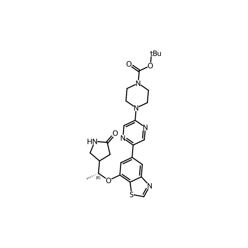 C[C@@H](Oc1cc(-c2cnc(N3CCN(C(=O)OC(C)(C)C)CC3)cn2)cc2ncsc12)C1CNC(=O)C1